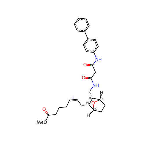 COC(=O)CCC/C=C\C[C@@H]1[C@H](CNC(=O)CC(=O)Nc2ccc(-c3ccccc3)cc2)[C@@H]2CC[C@H]1O2